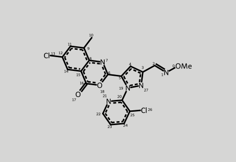 CO/N=C/c1cc(-c2nc3c(C)cc(Cl)cc3c(=O)o2)n(-c2ncccc2Cl)n1